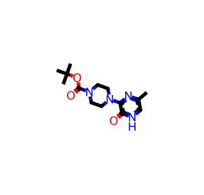 Cc1c[nH]c(=O)c(N2CCN(C(=O)OC(C)(C)C)CC2)n1